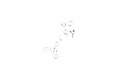 Cc1c(-c2ccc(-c3ccc(-c4cc(-c5ccccc5)cc(-c5ccccc5)n4)cc3)cc2)cc2c(c1-c1ccccc1)C1(c3ccccc3-c3ccccc31)c1ccccc1-2